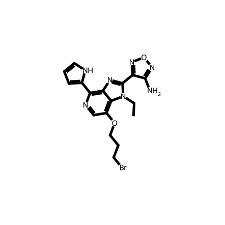 CCn1c(-c2nonc2N)nc2c(-c3ccc[nH]3)ncc(OCCCBr)c21